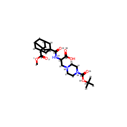 COC(=O)C12CC3CC(CC(C(=O)NC(CN4CCN(C(=O)OC(C)(C)C)CC4)C(=O)O)(C3)C1)C2